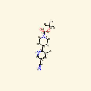 Cc1cc(C#N)cnc1C1CCN(C(=O)OC(C)(C)C)CC1